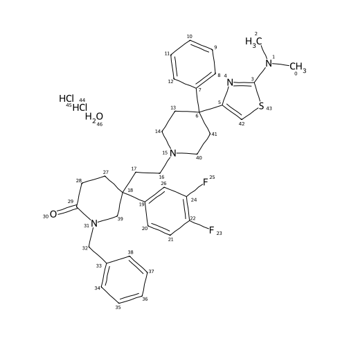 CN(C)c1nc(C2(c3ccccc3)CCN(CCC3(c4ccc(F)c(F)c4)CCC(=O)N(Cc4ccccc4)C3)CC2)cs1.Cl.Cl.O